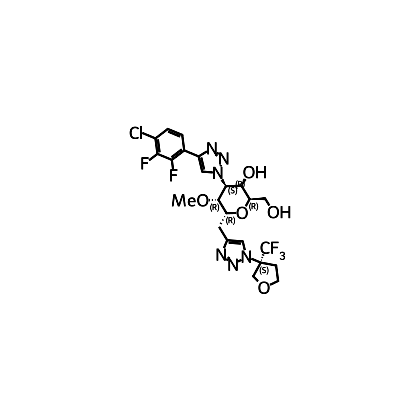 CO[C@@H]1[C@@H](n2cc(-c3ccc(Cl)c(F)c3F)nn2)[C@@H](O)[C@@H](CO)O[C@@H]1Cc1cn([C@@]2(C(F)(F)F)CCOC2)nn1